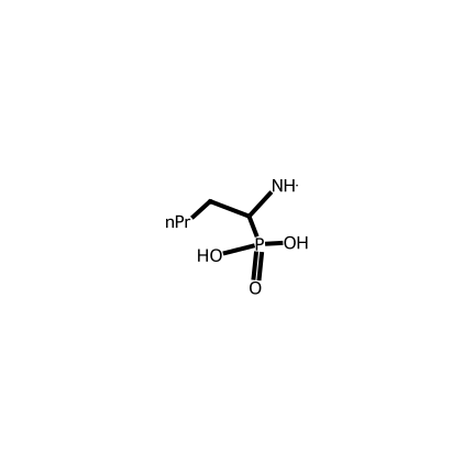 CCCCC([NH])P(=O)(O)O